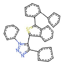 c1ccc(-c2ccccc2-c2sc(-c3c(-c4ccccc4)nnn3-c3ccccc3)c3ccccc23)cc1